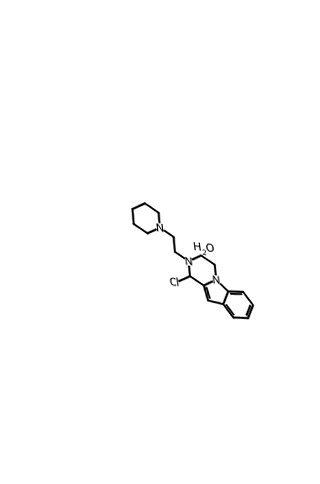 ClC1c2cc3ccccc3n2CCN1CCN1CCCCC1.O